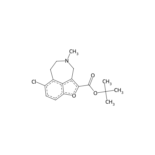 CN1CCc2c(Cl)ccc3oc(C(=O)OC(C)(C)C)c(c23)C1